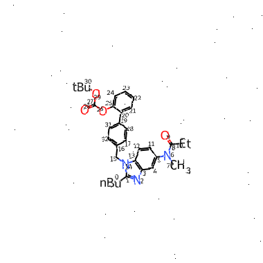 CCCCc1nc2cc(N(C)C(=O)CC)ccc2n1Cc1ccc(-c2ccccc2OC(=O)OC(C)(C)C)cc1